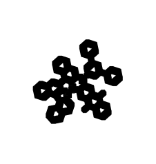 Cc1c2ccccc2c(C)c2cc3c(cc12)B1c2c(cc4ccccc4c2-c2cc4ccccc4c4c5c6ccccc6ccc5n1c24)N3c1cc(-c2ccccc2)cc(-c2ccccc2)c1